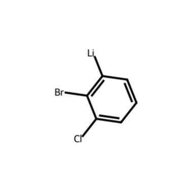 [Li][c]1cccc(Cl)c1Br